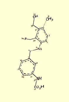 Cc1ccc(NCc2cccc(NC(=O)O)c2)c(F)c1CO